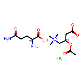 CC(=O)O[C@H](CC(=O)[O-])C[N+](C)(C)C.Cl.NC(=O)CC[C@H](N)C(=O)O